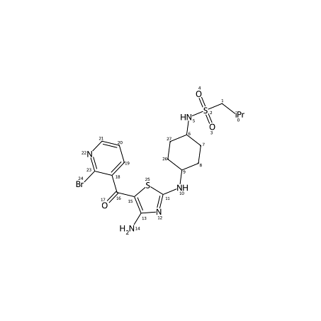 CC(C)CS(=O)(=O)NC1CCC(Nc2nc(N)c(C(=O)c3cccnc3Br)s2)CC1